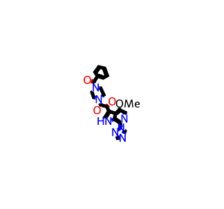 COc1cnc(-n2cncn2)c2[nH]cc(C(=O)C(=O)N3CCN(C(=O)c4ccccc4)CC3)c12